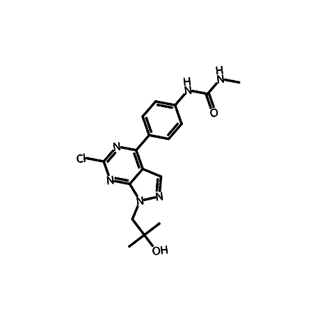 CNC(=O)Nc1ccc(-c2nc(Cl)nc3c2cnn3CC(C)(C)O)cc1